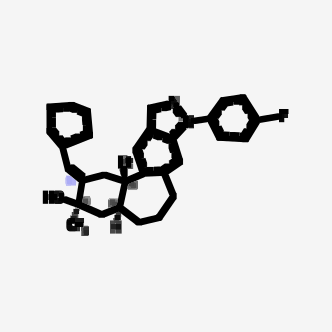 CC[C@]12C/C(=C\c3ccccc3)[C@@](O)(C(F)(F)F)C[C@@H]1CCCc1cc3c(cnn3-c3ccc(F)cc3)cc12